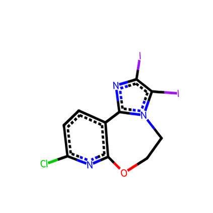 Clc1ccc2c(n1)OCCn1c-2nc(I)c1I